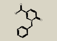 O=C(Cl)c1ccc(=O)n(Cc2ccccc2)c1